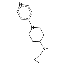 c1cc(N2CCC(NC3CC3)CC2)ccn1